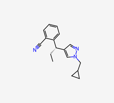 CC[C@@H](c1cnn(CC2CC2)c1)c1ccccc1C#N